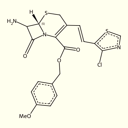 COc1ccc(COC(=O)C2=C(C=Cc3scnc3Cl)CS[C@H]3C(N)C(=O)N23)cc1